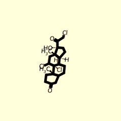 C[C@]12CCC(=O)CC1CC[C@H]1[C@@H]3CC[C@](O)(C(=O)CCl)[C@@]3(C)CC(Cl)[C@@]12Cl